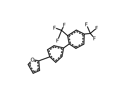 FC(F)(F)c1ccc(-c2ccc(-c3ccco3)cc2)c(C(F)(F)F)c1